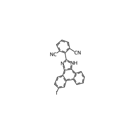 N#Cc1cccc(C#N)c1-c1nc2c3ccc(I)cc3c3ccccc3c2[nH]1